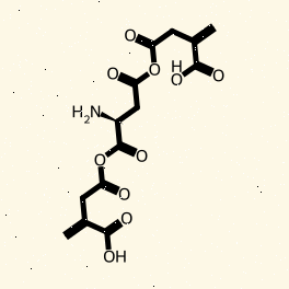 C=C(CC(=O)OC(=O)C[C@H](N)C(=O)OC(=O)CC(=C)C(=O)O)C(=O)O